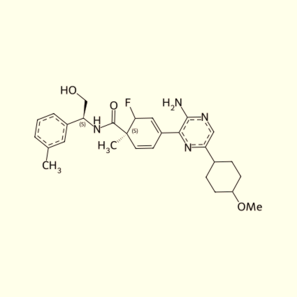 COC1CCC(c2cnc(N)c(C3=CC(F)[C@](C)(C(=O)N[C@H](CO)c4cccc(C)c4)C=C3)n2)CC1